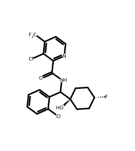 O=C(NC(c1ccccc1Cl)[C@]1(O)CC[C@H](F)CC1)c1nccc(C(F)(F)F)c1Cl